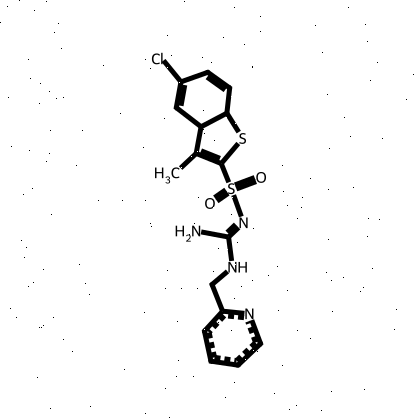 CC1=C(S(=O)(=O)/N=C(\N)NCc2ccccn2)SC2C=CC(Cl)=CC12